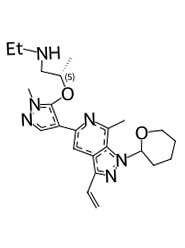 C=Cc1nn(C2CCCCO2)c2c(C)nc(-c3cnn(C)c3O[C@@H](C)CNCC)cc12